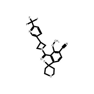 COc1c(C#N)ccc(C2(F)CCOCC2)c1C(=O)N1CC(c2ccc(C(F)(F)F)nc2)C1